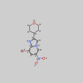 O=[N+]([O-])c1cc(Br)c2nc(C3CCOCC3)cn2c1